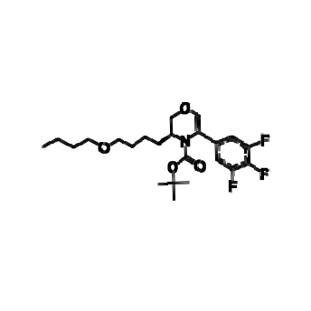 CCCCOCCCC[C@H]1COC=C(c2cc(F)c(F)c(F)c2)N1C(=O)OC(C)(C)C